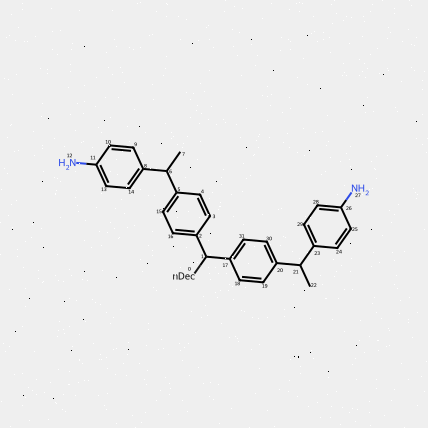 CCCCCCCCCCC(c1ccc(C(C)c2ccc(N)cc2)cc1)c1ccc(C(C)c2ccc(N)cc2)cc1